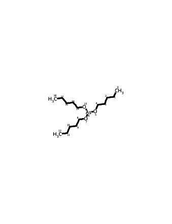 CCCCCO[As](OCCCCC)OCCCCC